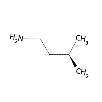 [CH2][C@H](C)CCN